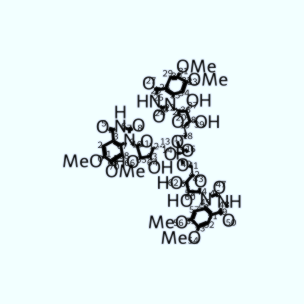 COc1cc2c(=O)[nH]c(=O)n([C@@H]3O[C@H](COP(=O)(OC[C@H]4O[C@@H](n5c(=O)[nH]c(=O)c6cc(OC)c(OC)cc65)[C@H](O)[C@@H]4O)OC[C@H]4O[C@@H](n5c(=O)[nH]c(=O)c6cc(OC)c(OC)cc65)[C@H](O)[C@@H]4O)[C@@H](O)[C@H]3O)c2cc1OC